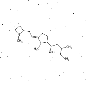 CCCCC(CC(C)CN)C1CC/C(=C\CC2CCN2C)C1C